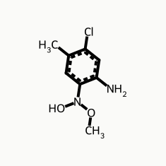 CON(O)c1cc(C)c(Cl)cc1N